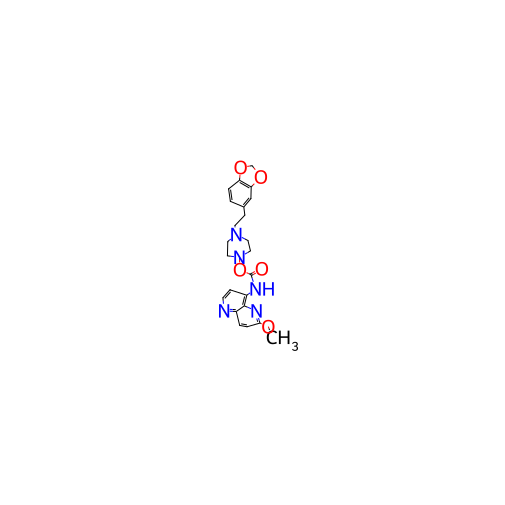 COc1ccc2nccc(NC(=O)ON3CCN(CCc4ccc5c(c4)OCO5)CC3)c2n1